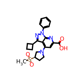 CS(=O)(=O)[C@@H]1CCN(c2cc(C(=O)O)nc3c2c(C2CCC2)nn3-c2ccccc2)C1